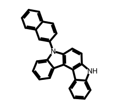 c1ccc2cc(-n3c4ccccc4c4c5c(ccc43)[nH]c3ccccc35)ccc2c1